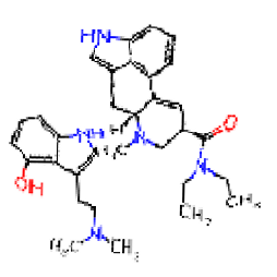 CCN(CC)C(=O)[C@@H]1C=C2c3cccc4[nH]cc(c34)C[C@H]2N(C)C1.CN(C)CCc1c[nH]c2cccc(O)c12